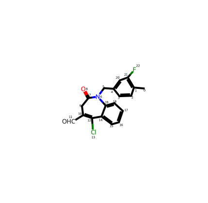 Cc1ccc(CN2C(=O)CC(C=O)=C(Cl)c3ccccc32)cc1F